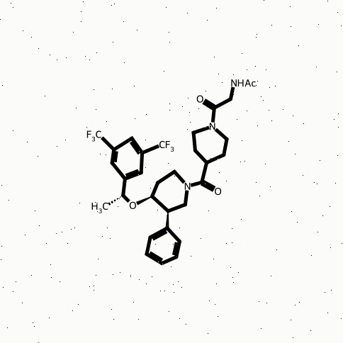 CC(=O)NCC(=O)N1CCC(C(=O)N2CC[C@H](O[C@H](C)c3cc(C(F)(F)F)cc(C(F)(F)F)c3)[C@H](c3ccccc3)C2)CC1